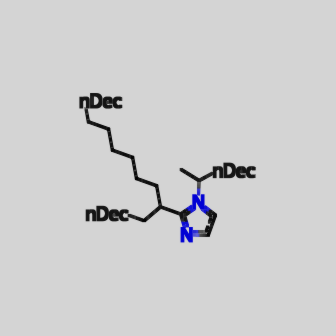 CCCCCCCCCCCCCCCCC(CCCCCCCCCCC)c1nccn1C(C)CCCCCCCCCC